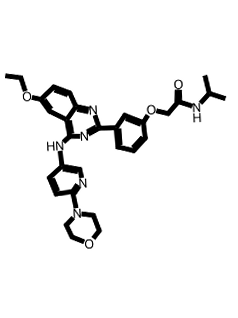 CCOc1ccc2nc(-c3cccc(OCC(=O)NC(C)C)c3)nc(Nc3ccc(N4CCOCC4)nc3)c2c1